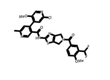 COc1cnc(Cl)cc1-c1cc(C)ncc1C(=O)Nc1nc2c(s1)CN(C(=O)c1ccc(OC)c(C(F)F)c1)C2